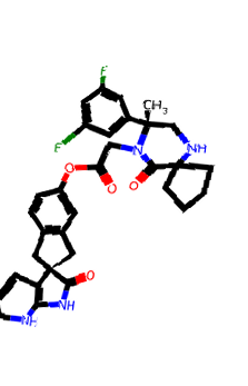 C[C@@]1(c2cc(F)cc(F)c2)CNC2(CCCC2)C(=O)N1CC(=O)Oc1ccc2c(c1)C[C@@]1(C2)C(=O)NC2=C1C=CCN2